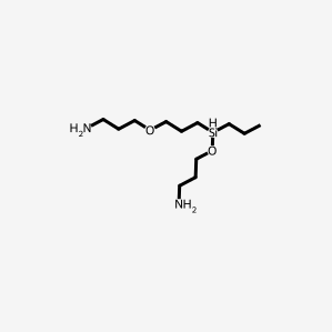 CCC[SiH](CCCOCCCN)OCCCN